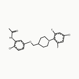 CC(=O)Nc1cc(OCC2CCN(c3c(F)cc(Cl)cc3F)CC2)ccc1Cl